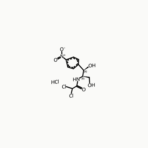 Cl.O=C(N[C@H](CO)[C@H](O)c1ccc([N+](=O)[O-])cc1)C(Cl)Cl